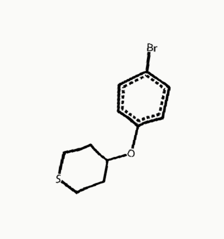 Brc1ccc(OC2CCSCC2)cc1